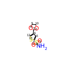 NS(=O)(=O)c1cc(C2OCCO2)cs1